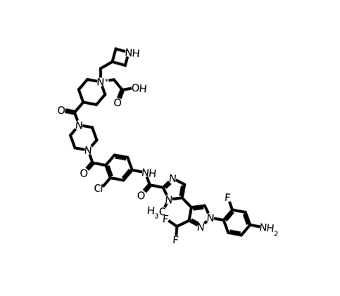 Cn1c(-c2cn(-c3ccc(N)cc3F)nc2C(F)F)cnc1C(=O)Nc1ccc(C(=O)N2CCN(C(=O)C3CC[N+](CC(=O)O)(CC4CNC4)CC3)CC2)c(Cl)c1